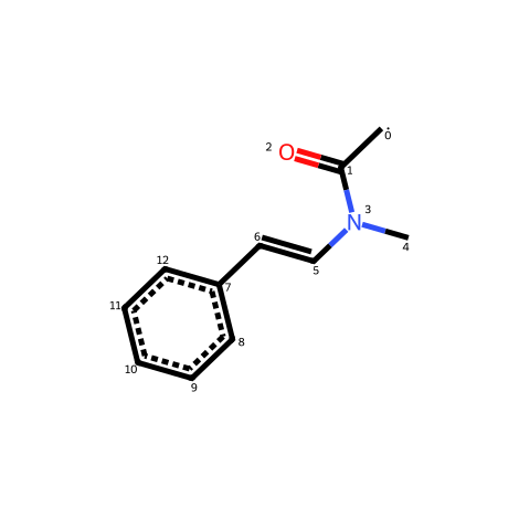 [CH2]C(=O)N(C)C=Cc1ccccc1